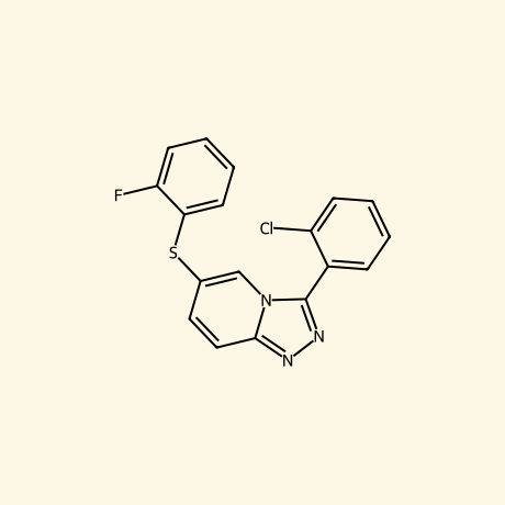 Fc1ccccc1Sc1ccc2nnc(-c3ccccc3Cl)n2c1